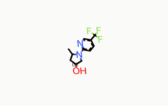 CC1C[C@H](O)CN1c1ccc(C(F)(F)F)cn1